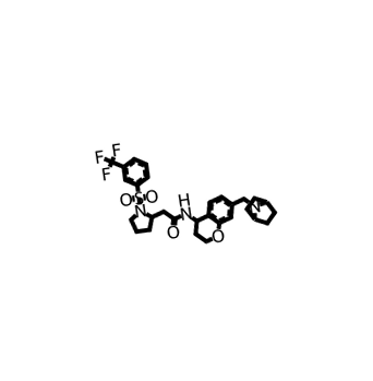 O=C(CC1CCCN1S(=O)(=O)c1cccc(C(F)(F)F)c1)NC1CCOc2cc(CN3C4CCC3CC4)ccc21